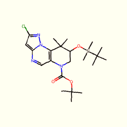 CC(C)(C)OC(=O)N1CC(O[Si](C)(C)C(C)(C)C)C(C)(C)c2c1cnc1cc(Cl)nn21